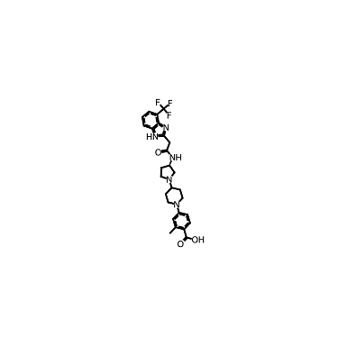 Cc1cc(N2CCC(N3CC[C@@H](NC(=O)Cc4nc5c(C(F)(F)F)cccc5[nH]4)C3)CC2)ccc1C(=O)O